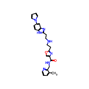 Cc1cccnc1CNC(=O)c1coc(CCNCCc2nc3cc(-n4cccc4)ccc3[nH]2)n1